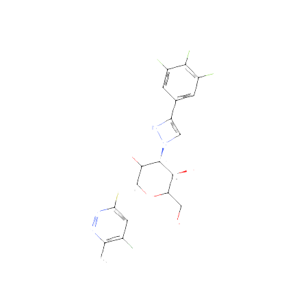 N#Cc1nnc(S[C@H]2OC(CO)[C@H](O)[C@H](n3cc(-c4cc(F)c(F)c(F)c4)[nH]3)C2O)cc1Cl